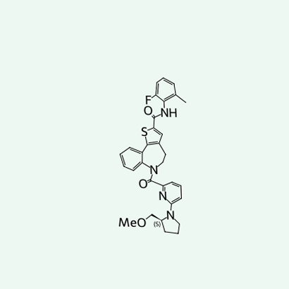 COC[C@@H]1CCCN1c1cccc(C(=O)N2CCc3cc(C(=O)Nc4c(C)cccc4F)sc3-c3ccccc32)n1